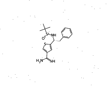 CC(C)(C)[S@+]([O-])N[C@H](Cc1ccccc1)c1cc(C(=N)N)cs1